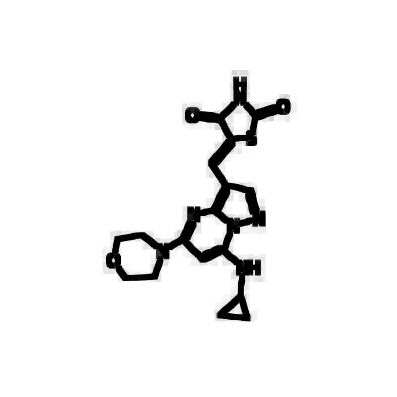 O=C1NC(=O)/C(=C/c2cnn3c(NC4CC4)cc(N4CCOCC4)nc23)S1